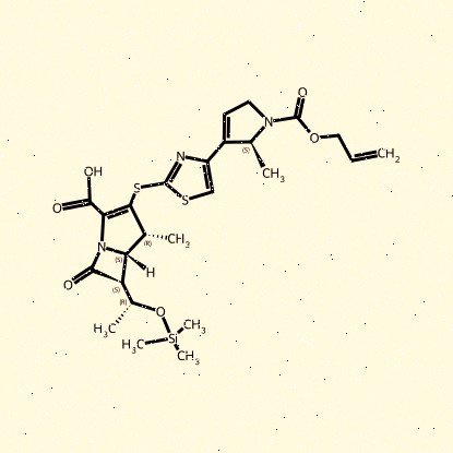 C=CCOC(=O)N1CC=C(c2csc(SC3=C(C(=O)O)N4C(=O)[C@H]([C@@H](C)O[Si](C)(C)C)[C@H]4[C@H]3C)n2)[C@@H]1C